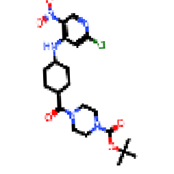 CC(C)(C)OC(=O)N1CCN(C(=O)C2CCC(Nc3cc(Cl)ncc3[N+](=O)[O-])CC2)CC1